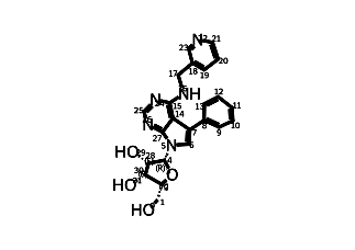 OC[C@H]1O[C@@H](n2cc(-c3ccccc3)c3c(NCc4cccnc4)ncnc32)[C@@H](O)[C@H]1O